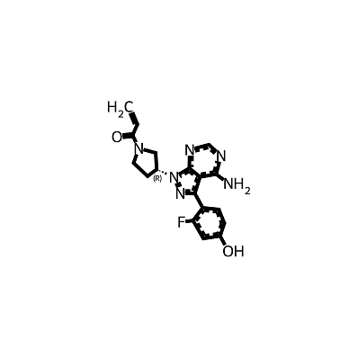 C=CC(=O)N1CC[C@@H](n2nc(-c3ccc(O)cc3F)c3c(N)ncnc32)C1